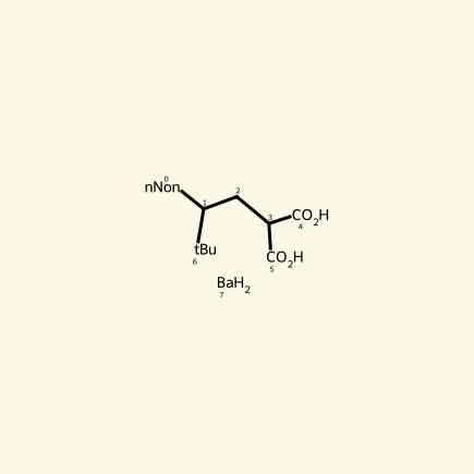 CCCCCCCCCC(CC(C(=O)O)C(=O)O)C(C)(C)C.[BaH2]